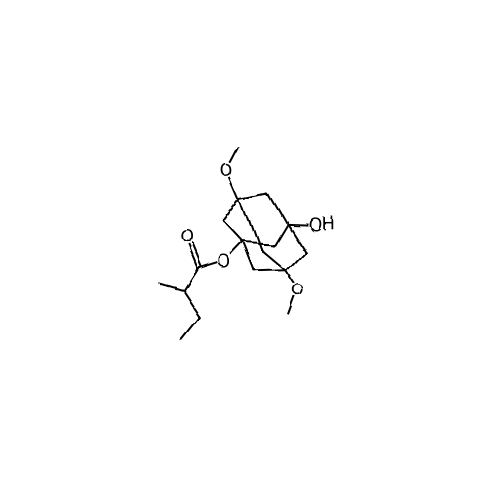 CCC(C)C(=O)OC12CC3(O)CC(OC)(CC(OC)(C3)C1)C2